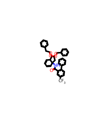 O=C(CC1(NC(=O)c2cc(C(F)(F)F)ccc2-c2ccccc2)C=CC=CC1C(=O)OCc1ccccc1)OCCc1ccccc1